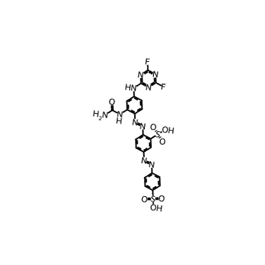 NC(=O)Nc1cc(Nc2nc(F)nc(F)n2)ccc1/N=N/c1ccc(/N=N/c2ccc(S(=O)(=O)O)cc2)cc1S(=O)(=O)O